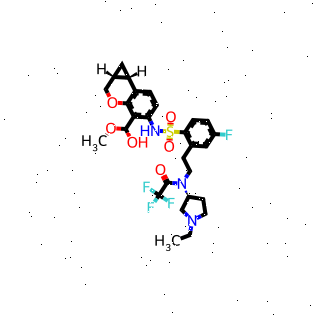 CCN1CC[C@@H](N(CCc2cc(F)ccc2S(=O)(=O)Nc2ccc3c(c2C(O)OC)OC[C@@H]2C[C@H]32)C(=O)C(F)(F)F)C1